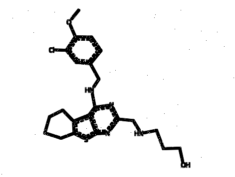 COc1ccc(CNc2nc(CNCCCO)nc3sc4c(c23)CCCC4)cc1Cl